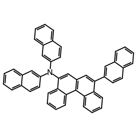 c1ccc2cc(-c3cc4cc(N(c5ccc6ccccc6c5)c5ccc6ccccc6c5)c5ccccc5c4c4ccccc34)ccc2c1